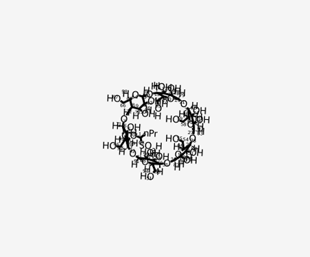 CCCC(O[C@@H]1[C@@H](O)[C@H]2O[C@H]3[C@H](O)[C@@H](O)[C@@H](O[C@H]4[C@H](O)[C@@H](O)[C@@H](O[C@H]5[C@H](O)[C@@H](O)[C@@H](O[C@H]6[C@H](O)[C@@H](O)[C@@H](O[C@H]7[C@H](O)[C@@H](O)[C@@H](O[C@H]1[C@@H](CO)O2)O[C@@H]7CO)O[C@@H]6CO)O[C@@H]5CO)O[C@@H]4CO)O[C@@H]3CO)S(=O)(=O)O